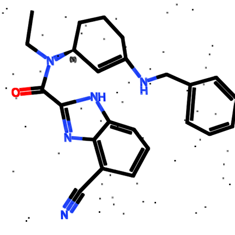 CCN(C(=O)c1nc2c(C#N)cccc2[nH]1)[C@@H]1C=C(NCc2ccccc2)CCC1